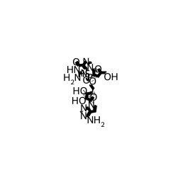 Nc1nc2c(ncn2[C@@H]2OC(CO)C[C@H]2P(=O)(S)OCC[C@H]2O[C@@H](n3ccc4c(N)ncnc43)[C@H](O)[C@@H]2O)c(=O)[nH]1